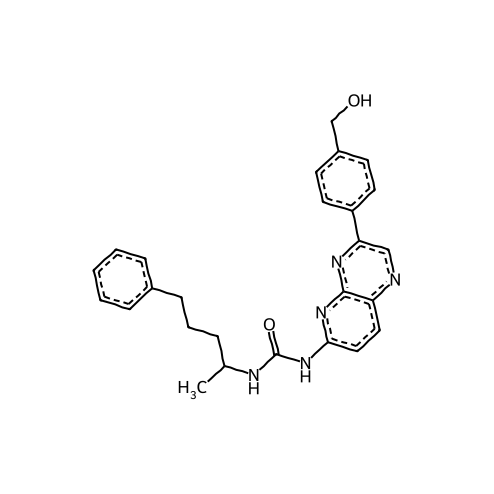 CC(CCCc1ccccc1)NC(=O)Nc1ccc2ncc(-c3ccc(CO)cc3)nc2n1